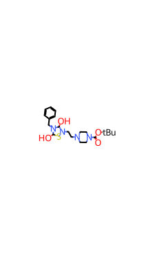 CC(C)(C)OC(=O)N1CCN(CCN2SC(O)N(Cc3ccccc3)C2O)CC1